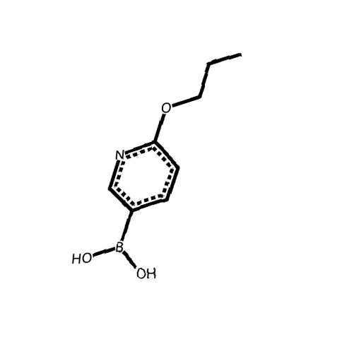 CCCOc1ccc(B(O)O)cn1